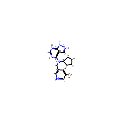 Brc1cncc(CN(c2ncnc3[nH]ncc23)C2CCCC2)c1